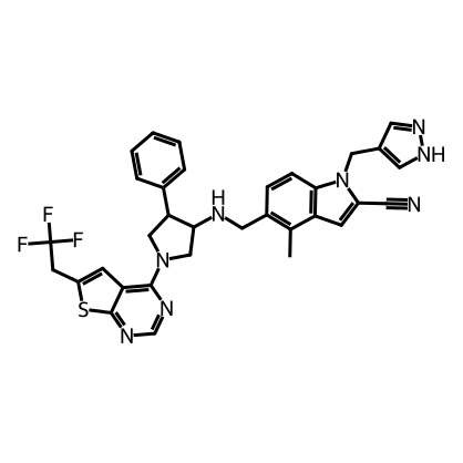 Cc1c(CNC2CN(c3ncnc4sc(CC(F)(F)F)cc34)CC2c2ccccc2)ccc2c1cc(C#N)n2Cc1cn[nH]c1